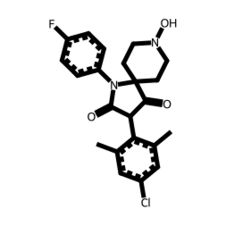 Cc1cc(Cl)cc(C)c1C1C(=O)N(c2ccc(F)cc2)C2(CCN(O)CC2)C1=O